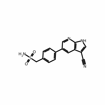 N#Cc1c[nH]c2ncc(-c3ccc(CS(N)(=O)=O)cc3)cc12